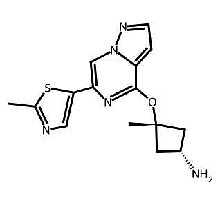 Cc1ncc(-c2cn3nccc3c(O[C@]3(C)C[C@H](N)C3)n2)s1